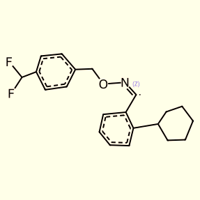 FC(F)c1ccc(CO/N=[C]\c2ccccc2C2CCCCC2)cc1